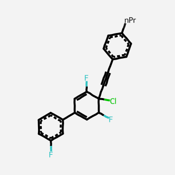 CCCc1ccc(C#CC2(Cl)C(F)=CC(c3cccc(F)c3)=CC2F)cc1